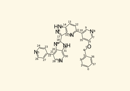 c1ccc(COc2cncc(-c3ccc4[nH]nc(-c5nc6c(-c7ccncc7)cncc6[nH]5)c4n3)c2)cc1